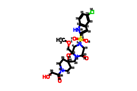 COCC12CN(S(=O)(=O)c3cc4cc(Cl)ccc4[nH]3)CC(=O)N1CC1(CCN(C(=O)CO)CC1)O2